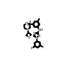 Cc1cc(Nc2ncn(-c3cc(F)cc(F)c3)n2)cc([C@]2(C)CN(C3COC3)CCO2)c1